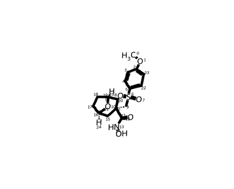 COc1ccc(S(=O)(=O)C[C@]2(C(=O)NO)C[C@H]3CC[C@@H](C2)O3)cc1